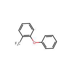 FC(F)(F)c1ccc[c]c1Oc1ccccc1